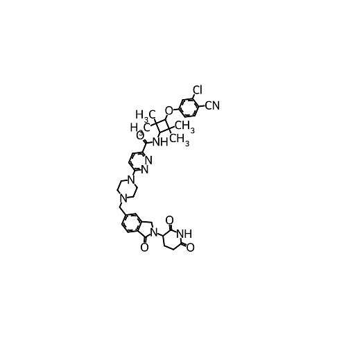 CC1(C)C(NC(=O)c2ccc(N3CCN(Cc4ccc5c(c4)CN(C4CCC(=O)NC4=O)C5=O)CC3)nn2)C(C)(C)C1Oc1ccc(C#N)c(Cl)c1